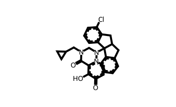 O=C1c2c(O)c(=O)ccn2N(C23c4ccccc4CC2Cc2c(Cl)cccc23)CN1CC1CC1